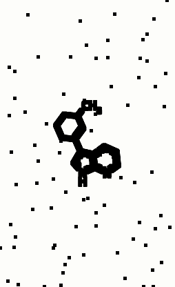 CC1C=C(c2c[nH]c3ncccc23)CCC1